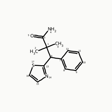 CC(C)(C(N)=O)C(c1ccccc1)c1nccs1